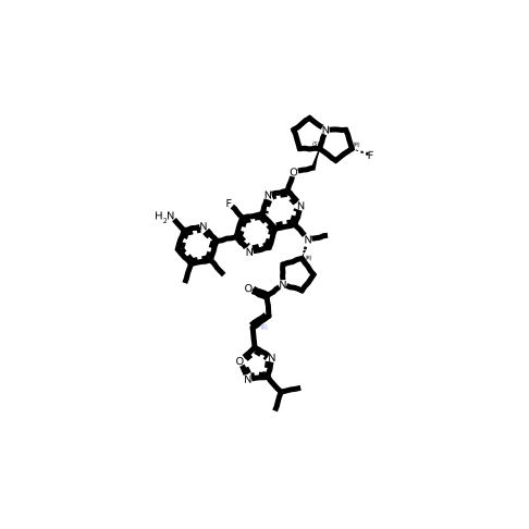 Cc1cc(N)nc(-c2ncc3c(N(C)[C@@H]4CCN(C(=O)/C=C/c5nc(C(C)C)no5)C4)nc(OC[C@@]45CCCN4C[C@H](F)C5)nc3c2F)c1C